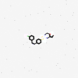 O=S(=O)(c1ccc(/C=C\c2cccc(Cl)c2)cc1)N1CCc2occc2C1